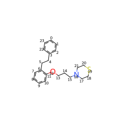 c1ccc(CCc2ccccc2OCCCN2CCSCC2)cc1